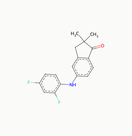 CC1(C)Cc2cc(Nc3ccc(F)cc3F)ccc2C1=O